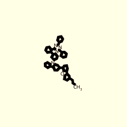 CCCCc1ccc2oc3c(-c4ccc5c6ccccc6n(-c6cccc(-c7ccccc7-c7nc(-c8ccccc8)nc(-c8ccccc8)n7)c6)c5c4)cccc3c2c1